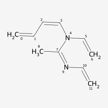 C=C/C=C\N(C=C)/C(C)=N\C=C